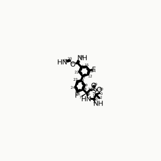 CC1(C)C(=N)N[C@](C)(c2cc(-c3cc(F)cc(C(=N)OC=N)c3)ccc2F)CS1(=O)=O